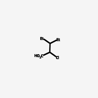 CCC(CC)C(Cl)C(=O)O